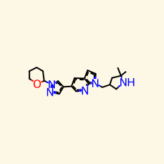 CC1(C)CC(Cn2ccc3cc(-c4cnn(C5CCCCO5)c4)cnc32)CN1